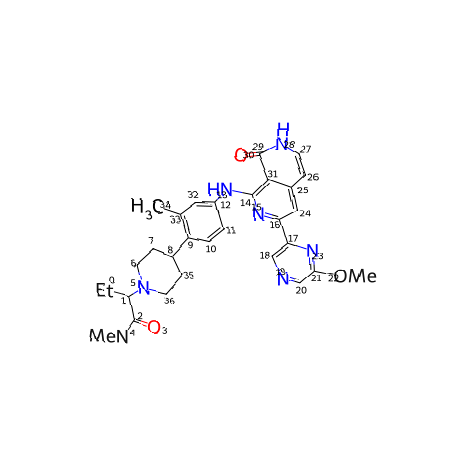 CCC(C(=O)NC)N1CCC(c2ccc(Nc3nc(-c4cncc(OC)n4)cc4cc[nH]c(=O)c34)cc2C)CC1